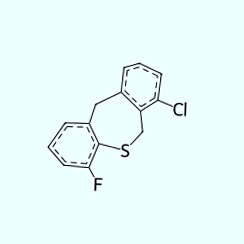 Fc1cccc2c1SCc1c(Cl)cccc1C2